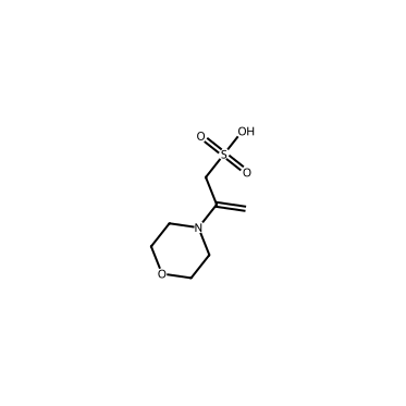 C=C(CS(=O)(=O)O)N1CCOCC1